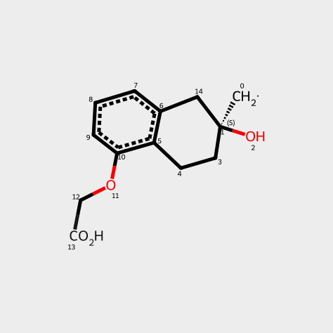 [CH2][C@]1(O)CCc2c(cccc2OCC(=O)O)C1